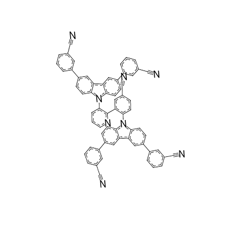 N#Cc1cccc(-c2ccc3c(c2)c2cc(-c4cccc(C#N)c4)ccc2n3-c2ccc(C#N)cc2-c2ncccc2-n2c3ccc(-c4cccc(C#N)c4)cc3c3cc(-c4cccc(C#N)c4)ccc32)c1